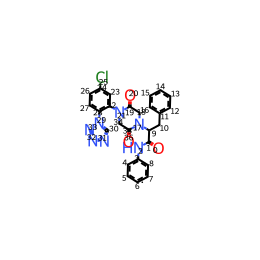 O=C(Nc1cc[c]cc1)C(Cc1ccccc1)N1CC(=O)N(c2cc(Cl)ccc2-n2cnnn2)CC1=O